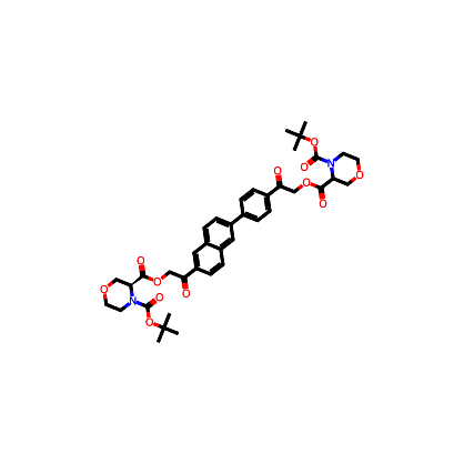 CC(C)(C)OC(=O)N1CCOCC1C(=O)OCC(=O)c1ccc(-c2ccc3cc(C(=O)COC(=O)[C@@H]4COCCN4C(=O)OC(C)(C)C)ccc3c2)cc1